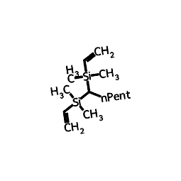 C=C[Si](C)(C)C(CCCCC)[Si](C)(C)C=C